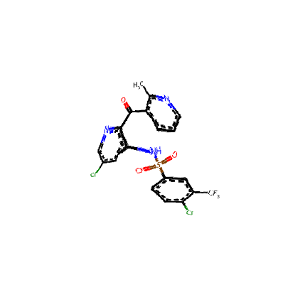 Cc1ncccc1C(=O)c1ncc(Cl)cc1NS(=O)(=O)c1ccc(Cl)c(C(F)(F)F)c1